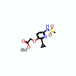 CC(C)(C)OC(=O)COc1ccc(NS(C)(=O)=O)nc1C1CC1